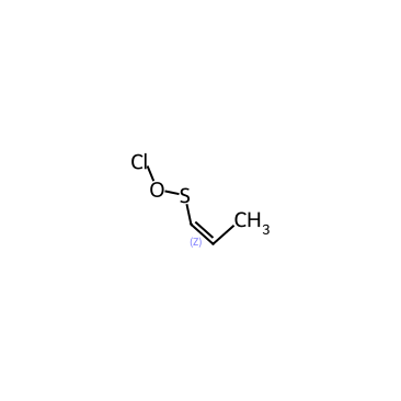 C/C=C\SOCl